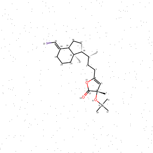 C[C@H](CCC1=C[C@](C)(O[Si](C)(C)C)C(=O)O1)[C@H]1CCC2/C(=C/I)CCC[C@@]21C